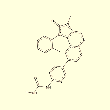 CNC(=O)Nc1ccc(-c2ccc3ncc4c(c3c2)n(-c2ccccc2C)c(=O)n4C)cn1